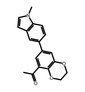 CC(=O)c1cc(-c2ccc3c(ccn3C)c2)cc2c1OCCO2